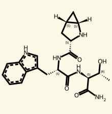 C[C@@H](O)[C@H](NC(=O)[C@H](Cc1c[nH]c2ccccc12)NC(=O)[C@@H]1C[C@@H]2C[C@@H]2N1)C(N)=O